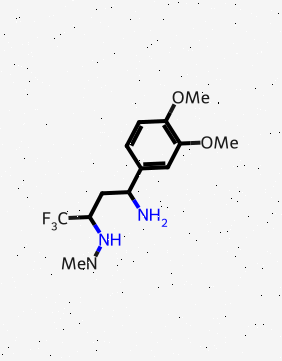 CNNC(CC(N)c1ccc(OC)c(OC)c1)C(F)(F)F